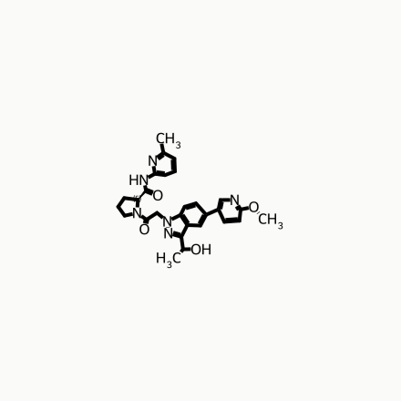 COc1ccc(-c2ccc3c(c2)c(C(C)O)nn3CC(=O)N2CCC[C@H]2C(=O)Nc2cccc(C)n2)cn1